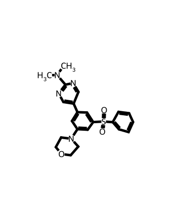 CN(C)c1ncc(-c2cc(N3CCOCC3)cc(S(=O)(=O)c3ccccc3)c2)cn1